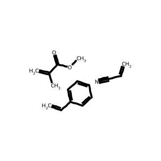 C=C(C)C(=O)OC.C=CC#N.C=Cc1ccccc1